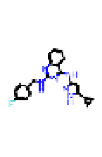 Fc1ccc(CNc2nc(Nc3cc(C4CC4)[nH]n3)c3ccccc3n2)cc1